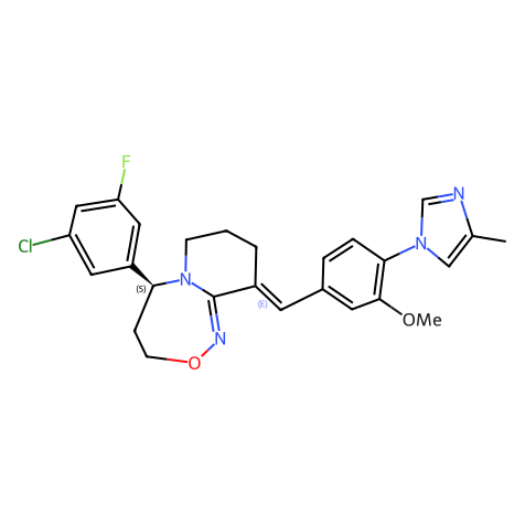 COc1cc(/C=C2\CCCN3C2=NOCC[C@H]3c2cc(F)cc(Cl)c2)ccc1-n1cnc(C)c1